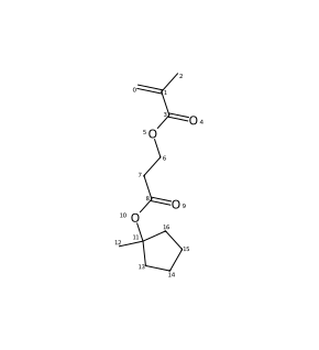 C=C(C)C(=O)OCCC(=O)OC1(C)CCCC1